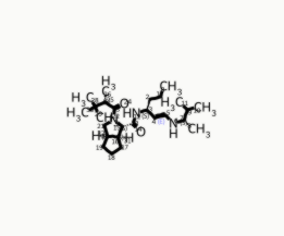 CCC[C@@H](/C=C/N[C@@H](C)C(C)C)NC(=O)[C@@H]1[C@H]2CCC[C@H]2CN1C(=O)[C@@H](C)C(C)(C)C